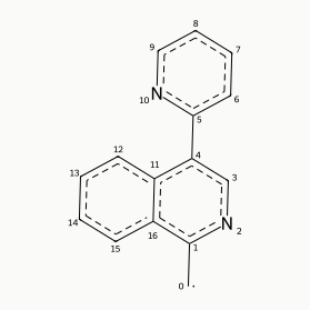 [CH2]c1ncc(-c2ccccn2)c2ccccc12